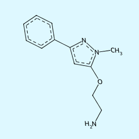 Cn1nc(-c2ccccc2)cc1OCCN